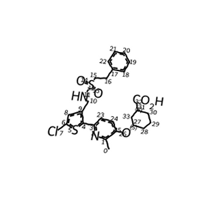 Cc1nc(-c2sc(Cl)cc2CNS(=O)(=O)CCc2ccccc2)ccc1O[C@H]1CCC[C@H](C(=O)O)C1